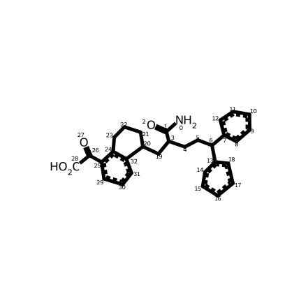 NC(=O)C(CCC(c1ccccc1)c1ccccc1)CC1CCCc2c(C(=O)C(=O)O)cccc21